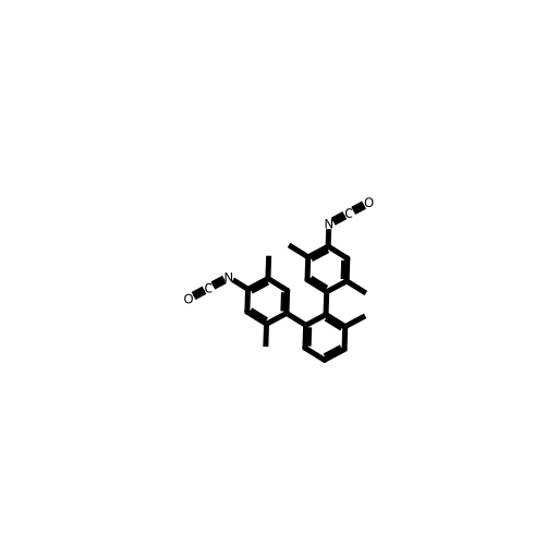 Cc1cc(-c2cccc(C)c2-c2cc(C)c(N=C=O)cc2C)c(C)cc1N=C=O